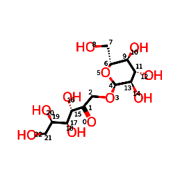 O=C(CO[C@H]1O[C@H](CO)[C@@H](O)[C@H](O)[C@H]1O)[C@@H](O)[C@H](O)[C@H](O)CO